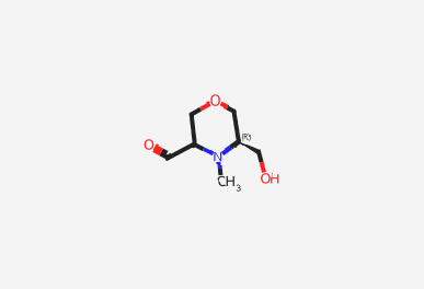 CN1C(C=O)COC[C@H]1CO